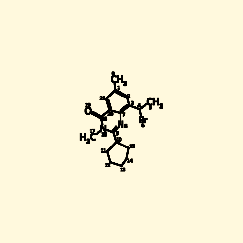 Cc1cc(C(C)Br)c2nc(C3CCCCC3)n(C)c(=O)c2c1